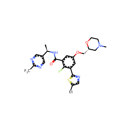 CCc1cnc(-c2cc(OC[C@H]3CN(C)CCO3)cc(C(=O)N[C@H](C)c3cnc(C(F)(F)F)nc3)c2F)s1